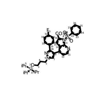 CC(C)[Si](OCCCn1cc(-c2ccnc3c2cc(C(=O)O)n3S(=O)(=O)c2ccccc2)c(-c2ccc(F)cc2)n1)(C(C)C)C(C)C